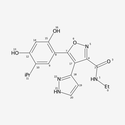 CCNC(=O)c1noc(-c2cc(C(C)C)c(O)cc2O)c1-c1cc[nH]n1